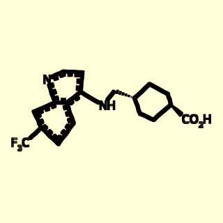 O=C(O)[C@H]1CC[C@H](CNc2ccnc3cc(C(F)(F)F)ccc23)CC1